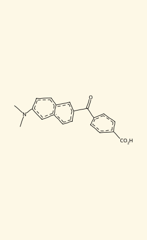 CN(C)c1ccc2cc(C(=O)c3ccc(C(=O)O)cc3)ccc2c1